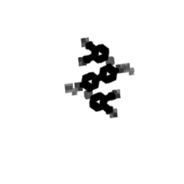 N#Cc1ccc(Oc2cc(-c3ccc(N)c(Oc4ccc(C#N)c(C#N)c4)c3)ccc2N)cc1C#N